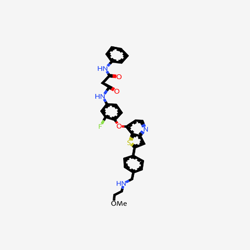 COCCNCc1ccc(-c2cc3nccc(Oc4ccc(NC(=O)CC(=O)Nc5ccccc5)cc4F)c3s2)cc1